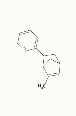 CC1=CC2CC1C(c1ccccc1)C2